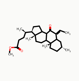 C/C=C1/C(=O)C2C(CC[C@@]3(C)C2CC[C@@H]3[C@H](C)CCC(=O)OC)[C@@]2(C)CC[C@@H](C)CC12